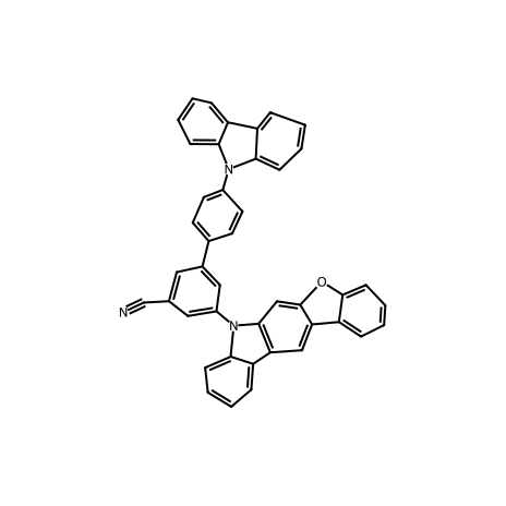 N#Cc1cc(-c2ccc(-n3c4ccccc4c4ccccc43)cc2)cc(-n2c3ccccc3c3cc4c(cc32)oc2ccccc24)c1